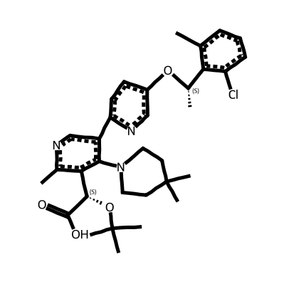 Cc1cccc(Cl)c1[C@H](C)Oc1ccc(-c2cnc(C)c([C@H](OC(C)(C)C)C(=O)O)c2N2CCC(C)(C)CC2)nc1